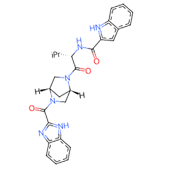 CC(C)[C@H](NC(=O)c1cc2ccccc2[nH]1)C(=O)N1C[C@@H]2C[C@H]1CN2C(=O)c1nc2ccccc2[nH]1